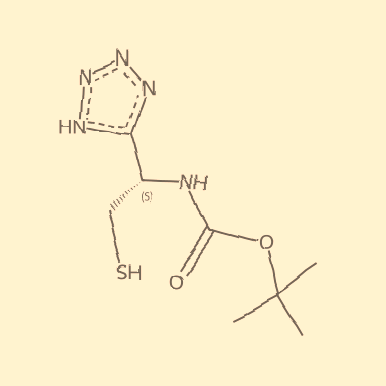 CC(C)(C)OC(=O)N[C@H](CS)c1nnn[nH]1